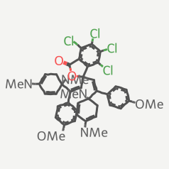 CNC1=CCC(NC)(C(=CC2(C=C(c3ccc(OC)cc3)C3(NC)C=CC(NC)=CC3)OC(=O)c3c(Cl)c(Cl)c(Cl)c(Cl)c32)c2ccc(OC)cc2)C=C1